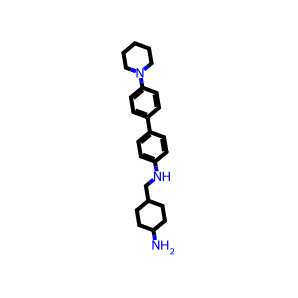 NC1CCC(CNc2ccc(-c3ccc(N4CCCCC4)cc3)cc2)CC1